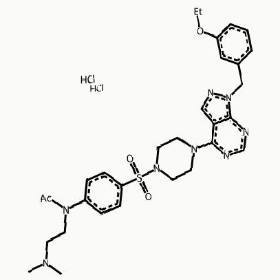 CCOc1cccc(Cn2ncc3c(N4CCN(S(=O)(=O)c5ccc(N(CCN(C)C)C(C)=O)cc5)CC4)ncnc32)c1.Cl.Cl